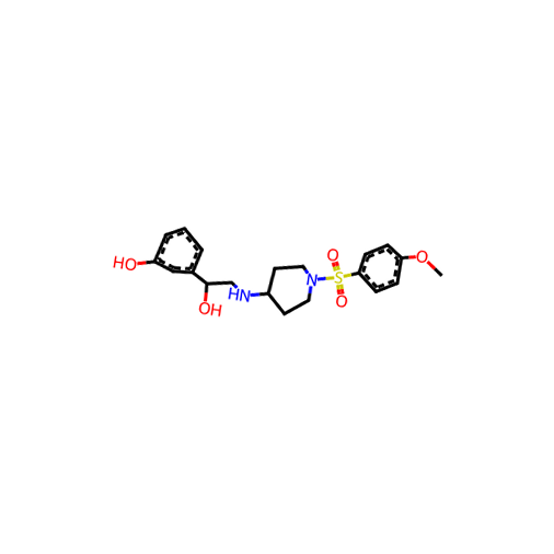 COc1ccc(S(=O)(=O)N2CCC(NCC(O)c3cccc(O)c3)CC2)cc1